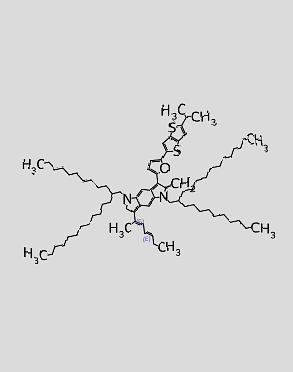 C=c1c(-c2ccc(-c3cc4sc(C(C)C)cc4s3)o2)c2cc3c(cc2n1CC(CCCCCCCCCC)CCCCCCCCCCCC)=C(/C(C)=C/C=C/CC)CN3CC(CCCCCCCCCC)CCCCCCCCCCCC